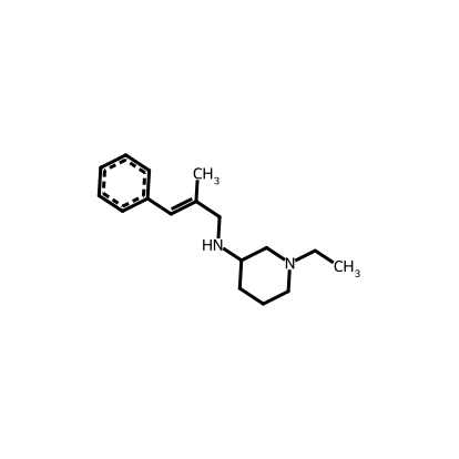 CCN1CCCC(NCC(C)=Cc2ccccc2)C1